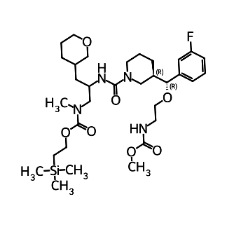 COC(=O)NCCO[C@@H](c1cccc(F)c1)[C@@H]1CCCN(C(=O)NC(CC2CCCOC2)CN(C)C(=O)OCC[Si](C)(C)C)C1